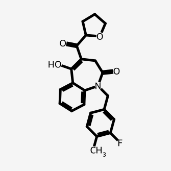 Cc1ccc(CN2C(=O)CC(C(=O)C3CCCO3)=C(O)c3ccccc32)cc1F